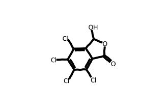 O=C1OC(O)c2c(Cl)c(Cl)c(Cl)c(Cl)c21